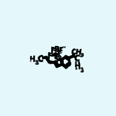 CCCc1cc2ccc(C(C)C)cc2[s+]1C(F)(F)F.[Br-]